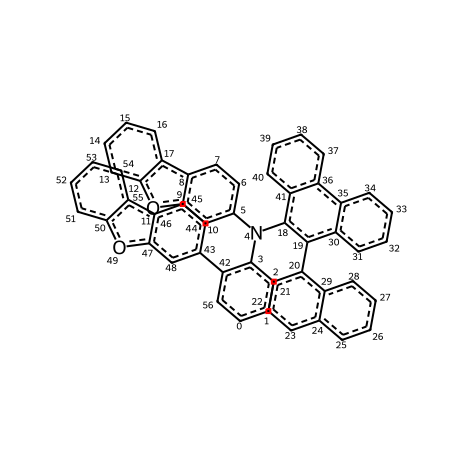 c1ccc(N(c2ccc3c(c2)oc2ccccc23)c2c(-c3cccc4ccccc34)c3ccccc3c3ccccc23)c(-c2ccc3c(c2)oc2ccccc23)c1